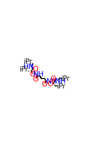 CC(C)CNC(=O)[C@@H](CC(C)C)ONC(=O)/C=C/CC(=O)NO[C@H](CC(C)C)C(=O)NCC(C)C